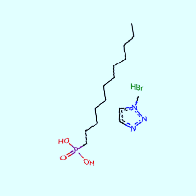 Br.CCCCCCCCCCCCP(=O)(O)O.Cn1ccnn1